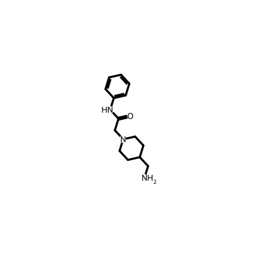 NCC1CCN(CC(=O)Nc2ccccc2)CC1